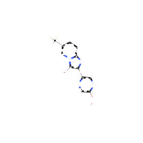 COc1cnc(-c2nc3ccc(C(F)(F)F)cn3c2I)cn1